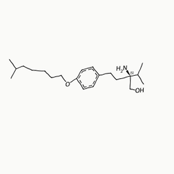 CC(C)CCCCCOc1ccc(CC[C@@](N)(CO)C(C)C)cc1